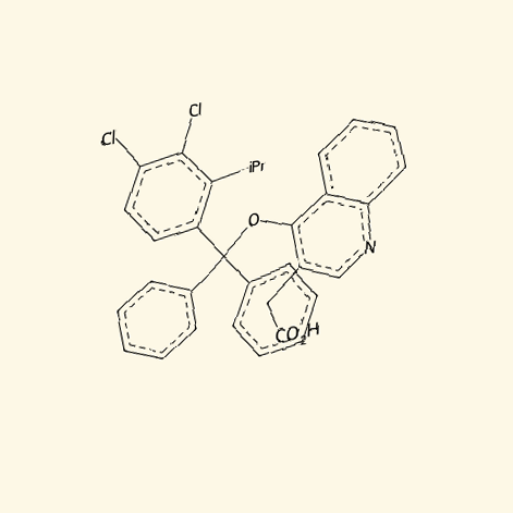 CC(C)c1c(C(Oc2c(CC(=O)O)cnc3ccccc23)(c2ccccc2)c2ccccc2)ccc(Cl)c1Cl